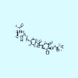 CC(=O)N(CC(O)COc1ccc(S(=O)(=O)c2cc(Cl)c(OCC(O)CCl)c(Cl)c2)cc1)C(C)=O